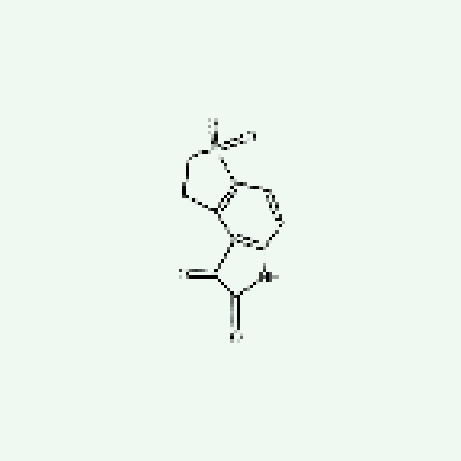 O=C1Nc2ccc3c(c2C1=O)CCS3(=O)=O